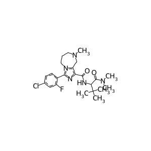 CN1CCCn2c(-c3ccc(Cl)cc3F)nc(C(=O)NC(C(=O)N(C)C)C(C)(C)C)c2C1